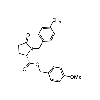 COc1ccc(COC(=O)[C@@H]2CCC(=O)N2Cc2ccc(C)cc2)cc1